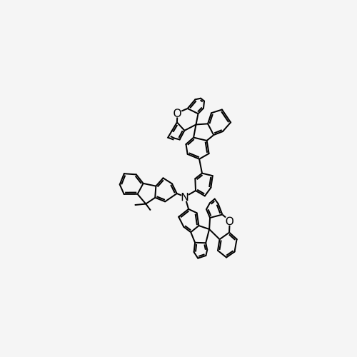 CC1(C)c2ccccc2-c2ccc(N(c3cccc(-c4ccc5c(c4)-c4ccccc4C54c5ccccc5Oc5ccccc54)c3)c3ccc4c(c3)C3(c5ccccc5Oc5ccccc53)c3ccccc3-4)cc21